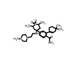 CC1CC(NCCN2CCN(C)CC2)(c2ccc(C(N)=O)c(C3=CCC(C)(C)CC3)c2)CC(C)S1(=O)=O